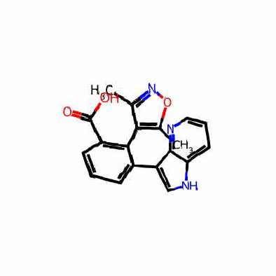 Cc1noc(C)c1-c1c(C(=O)O)cccc1-c1c[nH]c2cccnc12